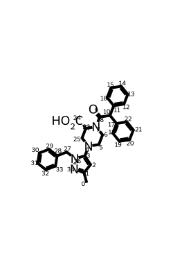 Cc1cc(N2CCN(C(=O)C(c3ccccc3)c3ccccc3)[C@H](C(=O)O)C2)n(Cc2ccccc2)n1